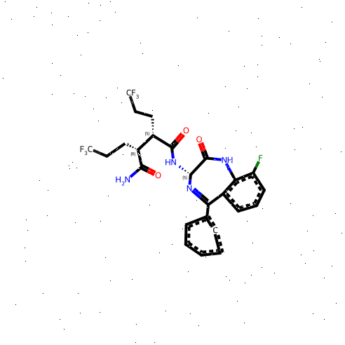 NC(=O)[C@H](CCC(F)(F)F)[C@H](CCC(F)(F)F)C(=O)N[C@H]1N=C(c2ccccc2)c2cccc(F)c2NC1=O